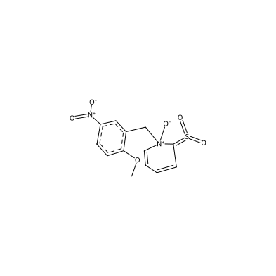 COc1ccc([N+](=O)[O-])cc1C[N+]1([O-])C=CC=CC1=S(=O)=O